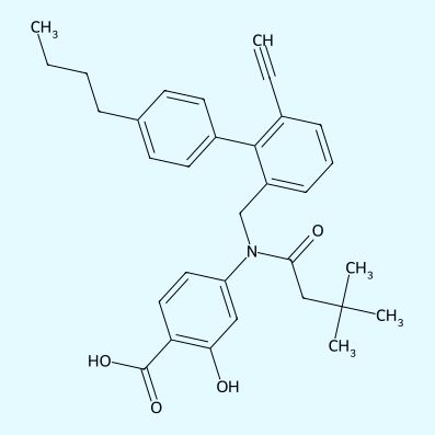 C#Cc1cccc(CN(C(=O)CC(C)(C)C)c2ccc(C(=O)O)c(O)c2)c1-c1ccc(CCCC)cc1